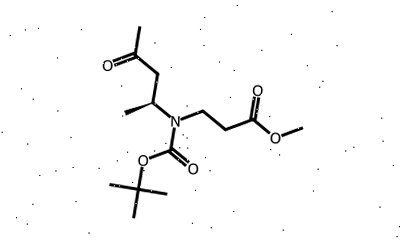 COC(=O)CCN(C(=O)OC(C)(C)C)[C@@H](C)CC(C)=O